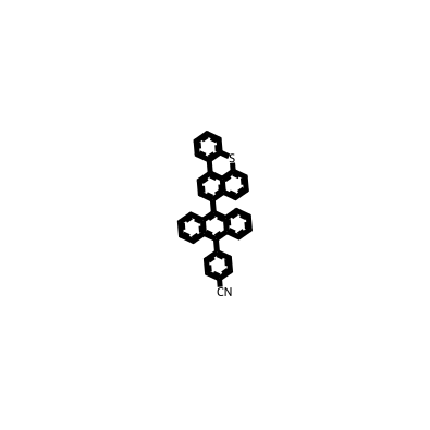 N#Cc1ccc(-c2c3ccccc3c(-c3ccc4c5c(cccc35)Sc3ccccc3-4)c3ccccc23)cc1